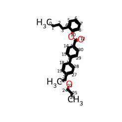 CCCCc1ccccc1OC(=O)c1ccc(-c2ccc(C(C)OCCC)cc2)cc1